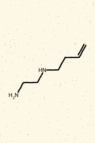 C=CCCNCCN